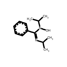 CC(C)N=C(c1ccccc1)N(O)C(C)C